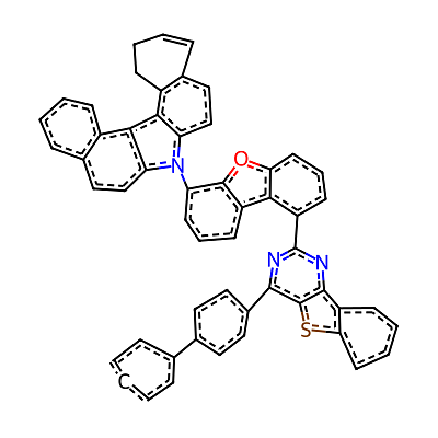 C1=Cc2ccc3c(c2CC1)c1c2ccccc2ccc1n3-c1cccc2c1oc1cccc(-c3nc(-c4ccc(-c5ccccc5)cc4)c4sc5ccccc5c4n3)c12